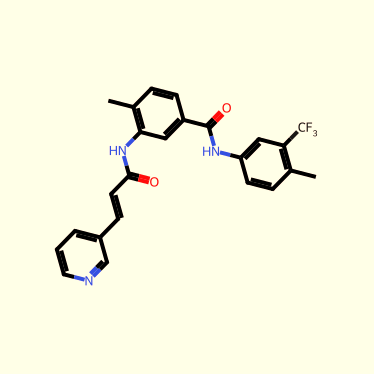 Cc1ccc(C(=O)Nc2ccc(C)c(C(F)(F)F)c2)cc1NC(=O)C=Cc1cccnc1